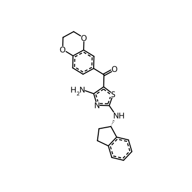 Nc1nc(N[C@H]2CCc3ccccc32)sc1C(=O)c1ccc2c(c1)OCCO2